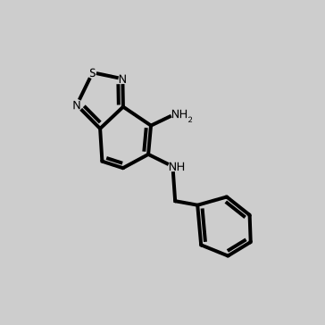 Nc1c(NCc2ccccc2)ccc2nsnc12